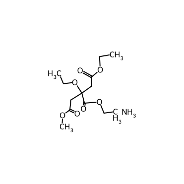 CCOC(=O)CC(CC(=O)OC)(OCC)C(=O)OCC.N